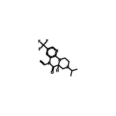 C=CN1C(=O)[C@H]2CN(C(C)C)CCN2c2ncc(C(F)(F)F)cc21